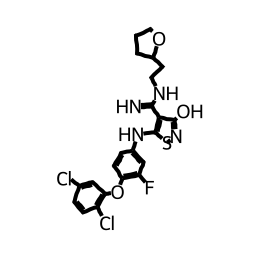 N=C(NCCC1CCCO1)c1c(O)nsc1Nc1ccc(Oc2cc(Cl)ccc2Cl)c(F)c1